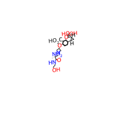 C[C@](N)(CN1CC(Oc2ccc3c(c2C(=O)O)O[B-](O)(O)[C@@H]2C[C@H]32)C1)C(=O)NCCO